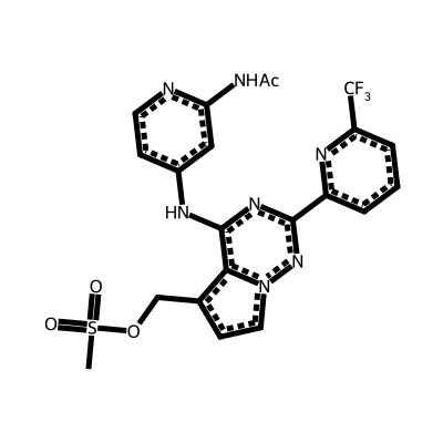 CC(=O)Nc1cc(Nc2nc(-c3cccc(C(F)(F)F)n3)nn3ccc(COS(C)(=O)=O)c23)ccn1